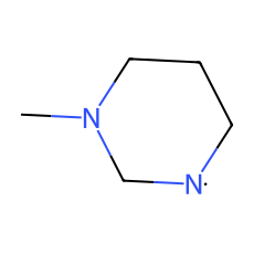 CN1CCC[N]C1